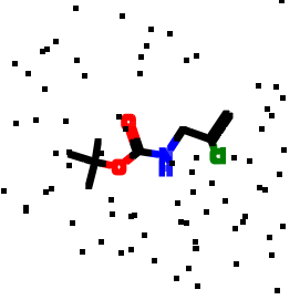 C=C(Cl)CNC(=O)OC(C)(C)C